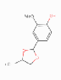 CCCCCCCCC1COC(c2ccc(O)c(OC)c2)O1